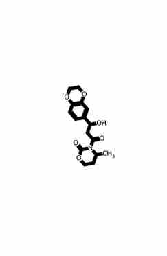 CC1CCOC(=O)N1C(=O)CC(O)c1ccc2c(c1)OCCO2